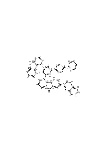 c1ccc(-c2ccc(-c3nc(-c4cccc5oc6ccccc6c45)nc(-c4cccc5oc6cc(-c7ccc8ccccc8c7)cnc6c45)n3)cc2)cc1